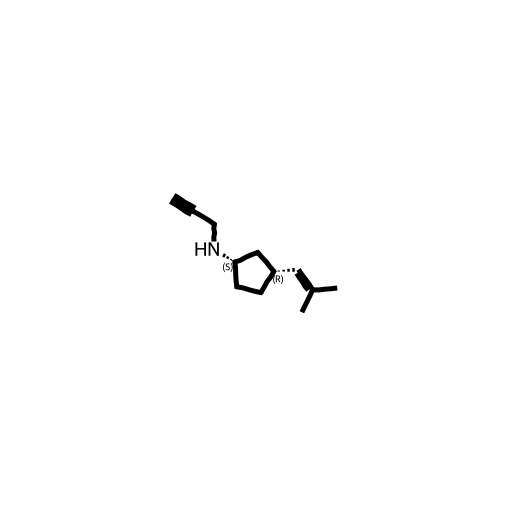 C#CCN[C@H]1CC[C@@H](C=C(C)C)C1